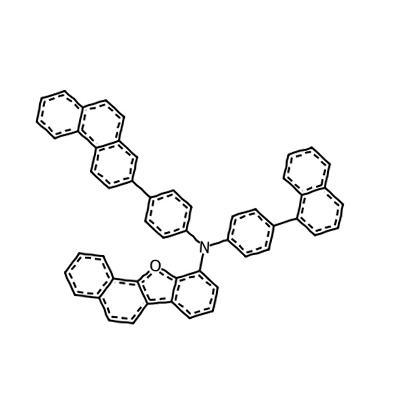 c1ccc2c(-c3ccc(N(c4ccc(-c5ccc6c(ccc7ccccc76)c5)cc4)c4cccc5c4oc4c6ccccc6ccc54)cc3)cccc2c1